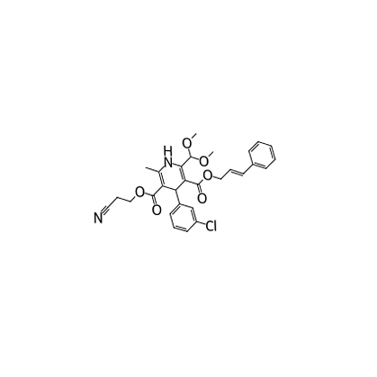 COC(OC)C1=C(C(=O)OCC=Cc2ccccc2)C(c2cccc(Cl)c2)C(C(=O)OCCC#N)=C(C)N1